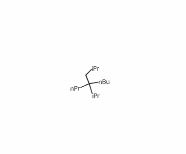 C[CH]CC(CCCC)(CC(C)C)C(C)C